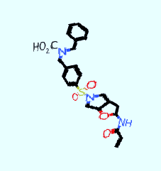 C=CC(=O)NC1CC2CN(S(=O)(=O)c3ccc(CN(Cc4ccccc4)C(=O)O)cc3)CC2O1